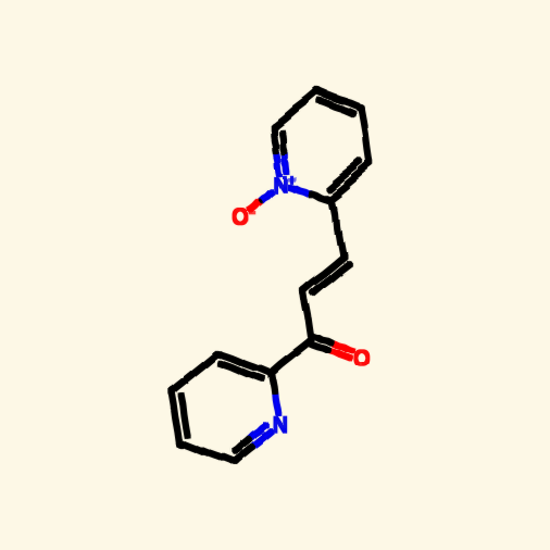 O=C(/C=C/c1cccc[n+]1[O-])c1ccccn1